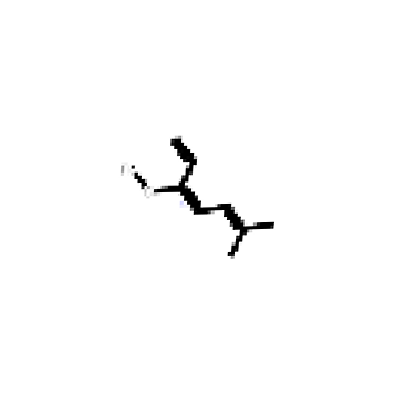 C=C/C(=C\C=C(C)C)OC(C)C